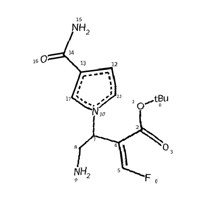 CC(C)(C)OC(=O)C(=CF)C(CN)n1ccc(C(N)=O)c1